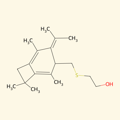 CC(C)=C1C(C)=C2CC(C)(C)C2=C(C)C1CSCCO